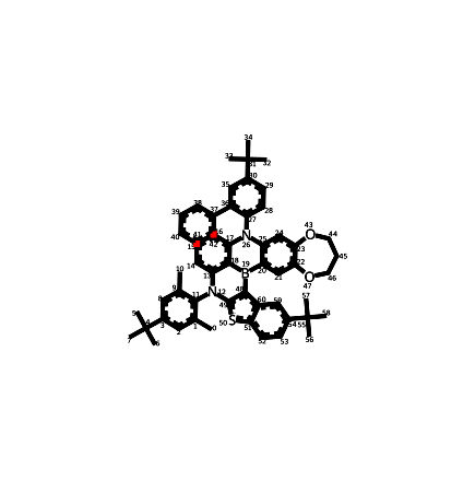 Cc1cc(C(C)(C)C)cc(C)c1N1c2cccc3c2B(c2cc4c(cc2N3c2ccc(C(C)(C)C)cc2-c2ccccc2)OCCCO4)c2c1sc1ccc(C(C)(C)C)cc21